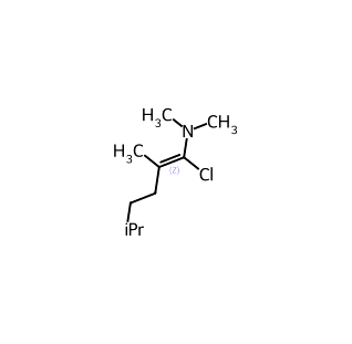 C/C(CCC(C)C)=C(/Cl)N(C)C